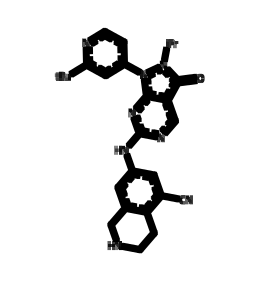 CC(C)n1c(=O)c2cnc(Nc3cc(C#N)c4c(c3)CNCC4)nc2n1-c1ccnc(C(C)(C)C)c1